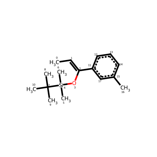 C/C=C(\O[Si](C)(C)C(C)(C)C)c1cccc(C)c1